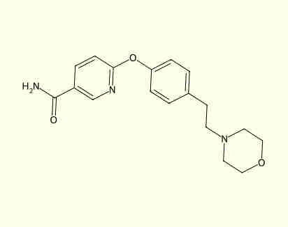 NC(=O)c1ccc(Oc2ccc(CCN3CCOCC3)cc2)nc1